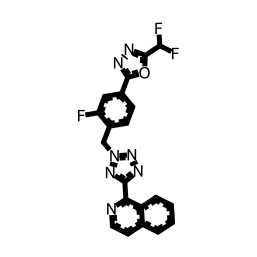 Fc1cc(-c2nnc(C(F)F)o2)ccc1Cn1nnc(-c2nccc3ccccc23)n1